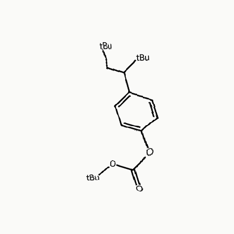 CC(C)(C)CC(c1ccc(OC(=O)OC(C)(C)C)cc1)C(C)(C)C